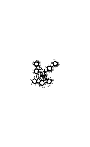 CC1(C)c2ccccc2-c2ccc3c4ccccc4n(-c4nc(-c5ccc(-c6ccccc6)cc5)nc(-c5cccc6c5sc5ccccc56)n4)c3c21